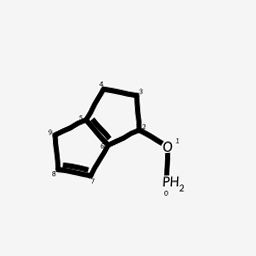 POC1CCC2=C1C=CC2